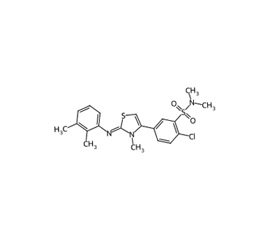 Cc1cccc(N=c2scc(-c3ccc(Cl)c(S(=O)(=O)N(C)C)c3)n2C)c1C